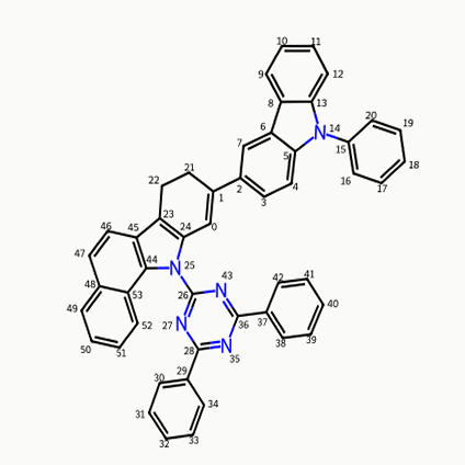 C1=C(c2ccc3c(c2)c2ccccc2n3-c2ccccc2)CCc2c1n(-c1nc(-c3ccccc3)nc(-c3ccccc3)n1)c1c2ccc2ccccc21